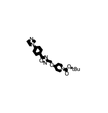 CC(C)(C)OC(=O)N1CCC(OCc2noc(-c3ccc(-n4ccnc4)cc3)n2)CC1